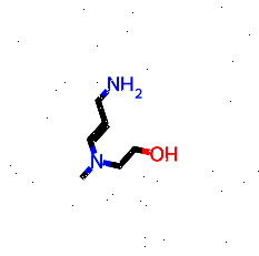 CN(C=CCN)CCO